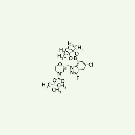 CC(C)(C)OC(=O)N1CCO[C@H](Cn2nc(F)c3cc(Cl)cc(B4OC(C)(C)C(C)(C)O4)c32)C1